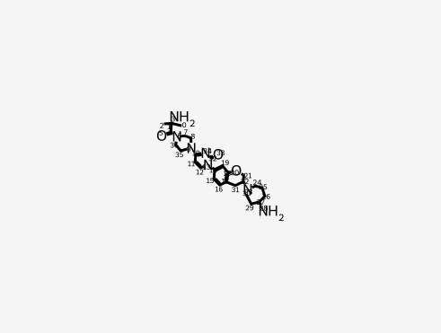 CC(C)(N)C(=O)N1CCN(c2ccn(-c3ccc4c(c3)OCC(N3CCCC(N)CC3)C4)c(=O)n2)CC1